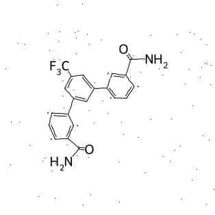 NC(=O)c1[c]c[c]c(-c2cc(-c3[c]c[c]c(C(N)=O)[c]3)cc(C(F)(F)F)c2)[c]1